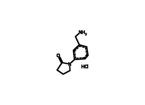 Cl.NCc1cccc(N2CCCC2=O)c1